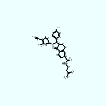 N#Cc1ccc(N2N=C3c4ccc(C(=O)NCCC(N)=O)cc4CCC3C2c2ccc(F)cc2)cc1Cl